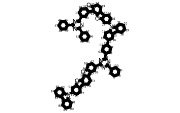 c1ccc(-c2nc(-c3ccc(-c4ccc5c(c4)c4ccccc4n5-c4ccc5c(c4)oc4c5ccc5oc6ccc(-c7nc(-c8ccccc8)nc(-c8ccccc8)n7)cc6c54)cc3)nc(-c3ccc4oc5c(ccc6c7ccc(-n8c9ccccc9c9ccccc98)cc7oc65)c4c3)n2)cc1